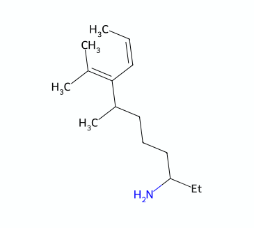 C/C=C\C(=C(C)C)C(C)CCCC(N)CC